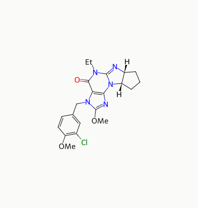 CCN1C(=O)c2c(nc(OC)n2Cc2ccc(OC)c(Cl)c2)N2C1=N[C@@H]1CCC[C@@H]12